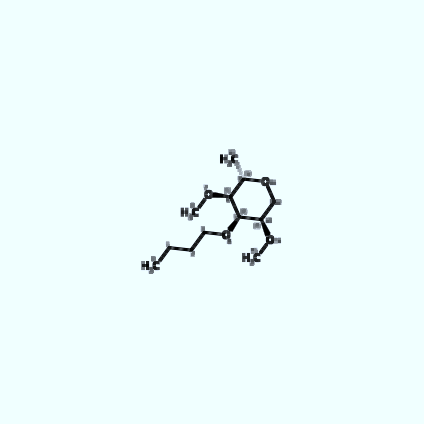 CCCCO[C@H]1[C@@H](OC)[C@H](C)O[C][C@H]1OC